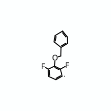 Fc1[c]ccc(F)c1OCc1ccccc1